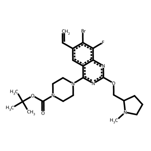 C=Cc1cc2c(N3CCN(C(=O)OC(C)(C)C)CC3)nc(OCC3CCCN3C)nc2c(F)c1Br